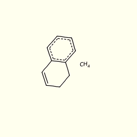 C.C1=Cc2ccccc2CC1